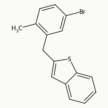 Cc1ccc(Br)cc1Cc1cc2ccccc2s1